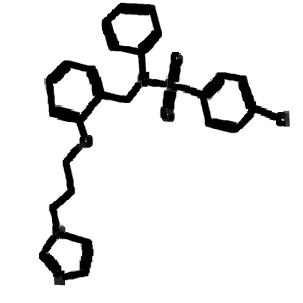 O=S(=O)(c1ccc(Cl)cc1)N(Cc1ccccc1OCCCn1ccnc1)c1ccccc1